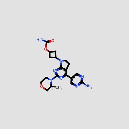 C[C@H]1COCCN1c1nc(-c2cnc(N)nc2)c2c(n1)N(C1CC(OC(N)=O)C1)CC2